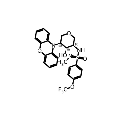 CN=S(=O)(N[C@@H]1COC[C@H](N2c3ccccc3Oc3ccccc32)[C@H]1O)c1ccc(OC(F)(F)F)cc1